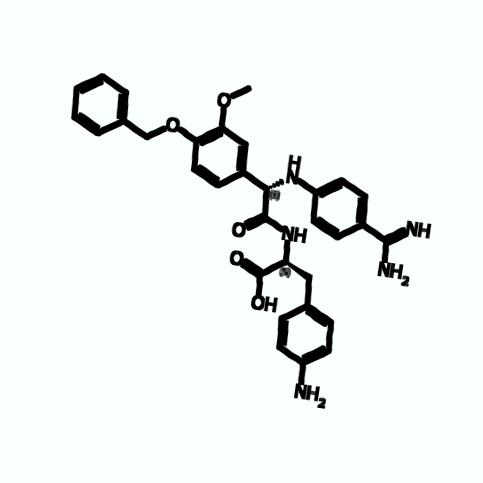 COc1cc([C@H](Nc2ccc(C(=N)N)cc2)C(=O)N[C@@H](Cc2ccc(N)cc2)C(=O)O)ccc1OCc1ccccc1